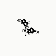 O=C1NC(=O)[C@](CN2Cc3cc(O)ccc3C2=O)(c2ccc(Br)cc2)N1